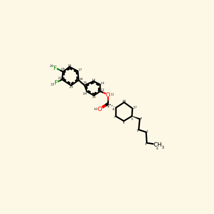 CCCCC[C@H]1CC[C@H](C(=O)Oc2ccc(-c3ccc(F)c(F)c3)cc2)CC1